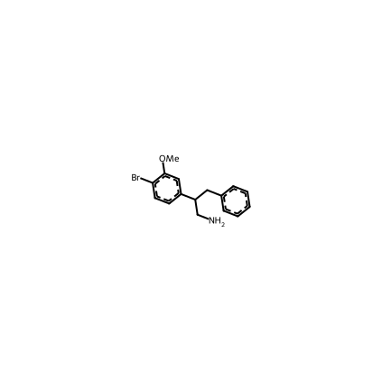 COc1cc(C(CN)Cc2ccccc2)ccc1Br